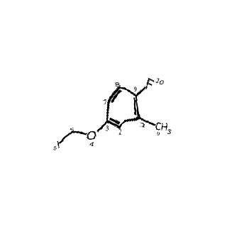 Cc1cc(OCI)ccc1F